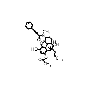 C=CCN1CC[C@]23c4c5c(OC(C)=O)cc(O)c4O[C@H]2[C@@H](N(C)C(=O)C#Cc2ccccc2)CC[C@H]3[C@H]1C5